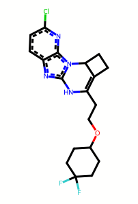 FC1(F)CCC(OCCC2=C3CCC3n3c(nc4ccc(Cl)nc43)N2)CC1